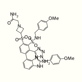 COc1ccc(CNS(=O)(=O)c2c(S(=O)(=O)C3CN(CC(N)=O)C3)ccc(-c3cccc4[nH]c(N)nc34)c2-c2nnn(Cc3ccc(OC)cc3)n2)cc1